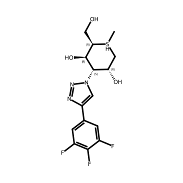 C[SH]1C[C@H](O)[C@H](n2cc(-c3cc(F)c(F)c(F)c3)nn2)[C@@H](O)[C@H]1CO